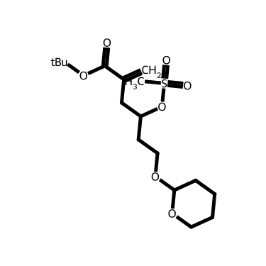 C=C(CC(CCOC1CCCCO1)OS(C)(=O)=O)C(=O)OC(C)(C)C